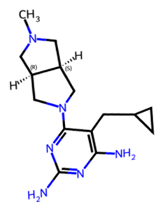 CN1C[C@@H]2CN(c3nc(N)nc(N)c3CC3CC3)C[C@@H]2C1